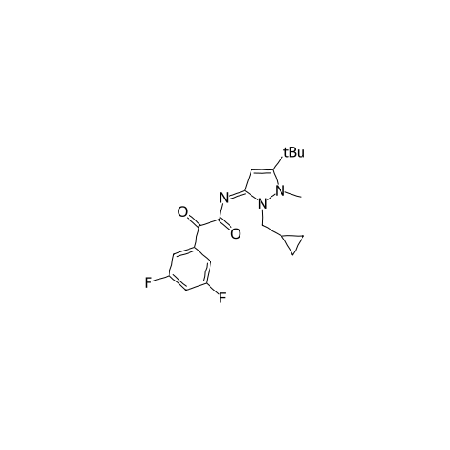 Cn1c(C(C)(C)C)cc(=NC(=O)C(=O)c2cc(F)cc(F)c2)n1CC1CC1